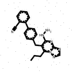 CCCc1c(Cc2ccc(-c3ccccc3C#N)cc2)c(NN)nc2ncnn12